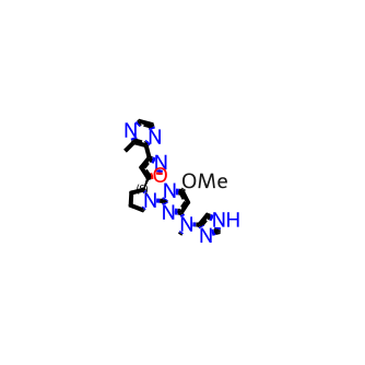 COc1cc(N(C)c2c[nH]cn2)nc(N2CCC[C@H]2c2cc(-c3nccnc3C)no2)n1